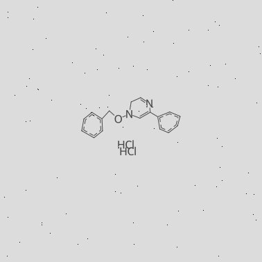 C1=NC(c2ccccc2)=CN(OCc2ccccc2)C1.Cl.Cl